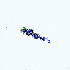 NCCN1CCN(Cc2cccc3c2ccn3CC(F)(F)F)CC1